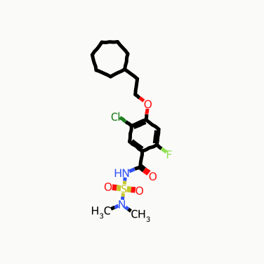 CN(C)S(=O)(=O)NC(=O)c1cc(Cl)c(OCCC2CCCCCC2)cc1F